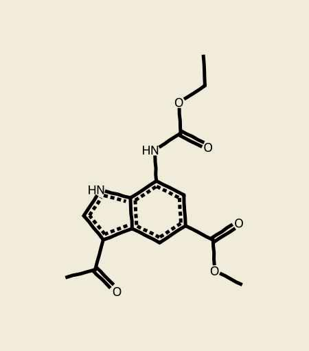 CCOC(=O)Nc1cc(C(=O)OC)cc2c(C(C)=O)c[nH]c12